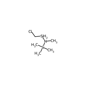 CN([SiH2]CCl)[Si](C)(C)C